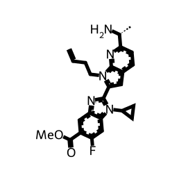 C=CCCn1c(-c2nc3cc(C(=O)OC)c(F)cc3n2C2CC2)cc2ccc([C@@H](C)N)nc21